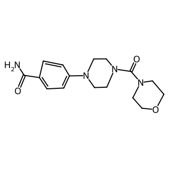 NC(=O)c1ccc(N2CCN(C(=O)N3CCOCC3)CC2)cc1